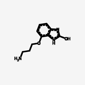 NCCCOc1cccc2nc(O)[nH]c12